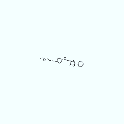 CCOCCCCc1ccc(OCCc2nc(-c3ccccc3)oc2C)cc1